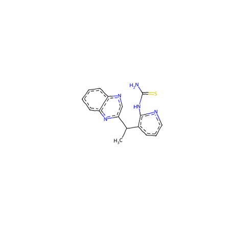 CC(c1cnc2ccccc2n1)c1cccnc1NC(N)=S